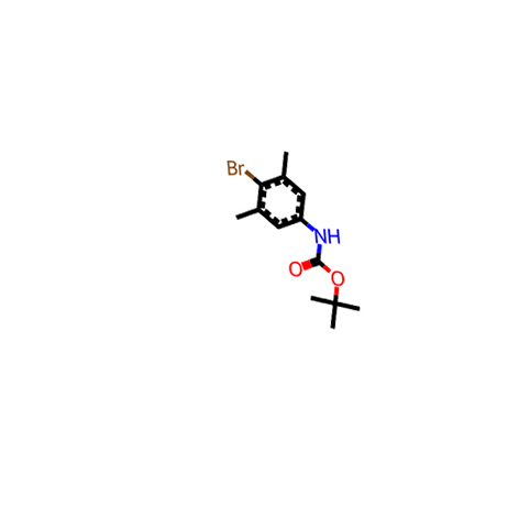 Cc1cc(NC(=O)OC(C)(C)C)cc(C)c1Br